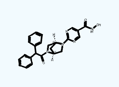 O=C(NO)c1cnc(N2C[C@@H]3C[C@H]2CN3C(=O)C(c2ccccc2)c2ccccc2)nc1